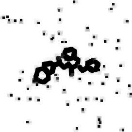 O=C(CCC(=O)N(Cc1cccnc1)Cc1cccnc1)c1ccc2c(c1)CCNCC2